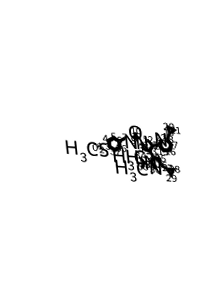 CCSc1ccc(CNC(=O)N2CC(c3cccc(C4CC4)n3)C(c3cc(C4CC4)nn3C(C)C)C2)cc1